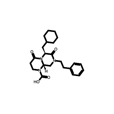 O=C1[C@H](CC2CCCCC2)N2C(=O)CCN(C(=O)O)[C@H]2CN1CCc1ccccc1